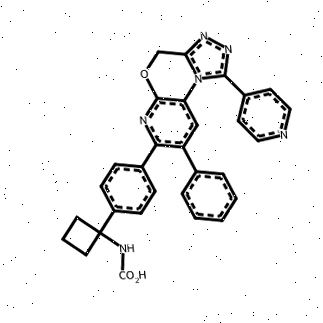 O=C(O)NC1(c2ccc(-c3nc4c(cc3-c3ccccc3)-n3c(nnc3-c3ccncc3)CO4)cc2)CCC1